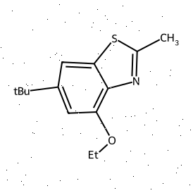 CCOc1cc(C(C)(C)C)cc2sc(C)nc12